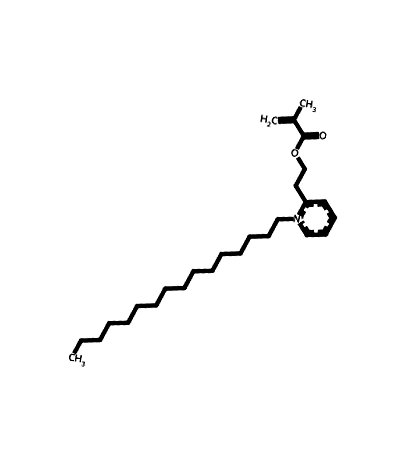 C=C(C)C(=O)OCCc1cccc[n+]1CCCCCCCCCCCCCCCC